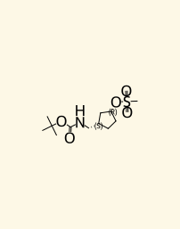 CC(C)(C)OC(=O)NC[C@H]1CC[C@@H](OS(C)(=O)=O)C1